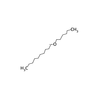 CCCCCCCCC[CH]OCCCCCC